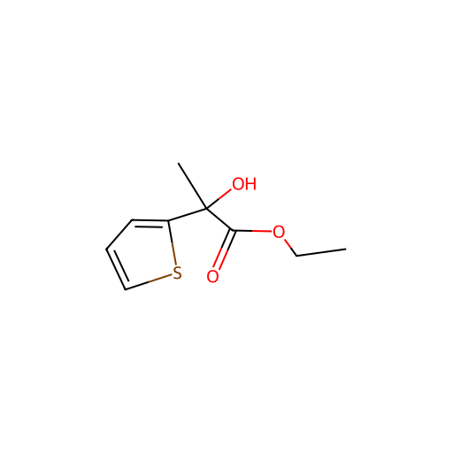 CCOC(=O)C(C)(O)c1cccs1